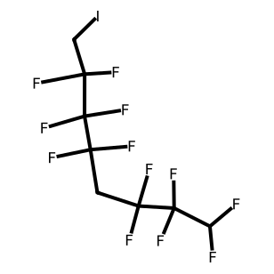 FC(F)C(F)(F)C(F)(F)CC(F)(F)C(F)(F)C(F)(F)CI